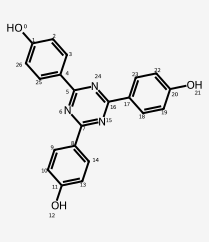 Oc1ccc(-c2nc(-c3ccc(O)cc3)nc(-c3ccc(O)cc3)n2)cc1